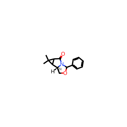 CC1(C)C2C(=O)N3C(c4ccccc4)OC[C@@H]3C21